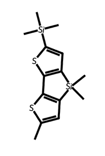 Cc1cc2c(s1)-c1sc([Si](C)(C)C)cc1[Si]2(C)C